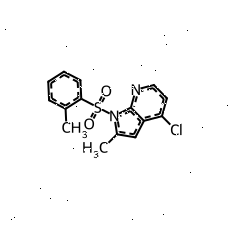 Cc1ccccc1S(=O)(=O)n1c(C)cc2c(Cl)ccnc21